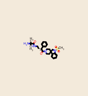 CC(C)(N)C(=O)NCC[C@@H](C(=O)N1CCC2(CC1)CN(S(C)(=O)=O)c1ccccc12)c1ccccc1